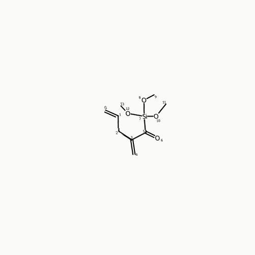 C=CCC(=C)C(=O)[Si](OC)(OC)OC